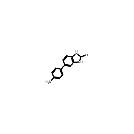 CCC1Nc2ccc(-c3ccc(N)cc3)cc2N1